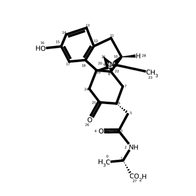 C[C@H](NC(=O)C[C@H]1C[C@@]2(O)[C@H]3Cc4ccc(O)cc4[C@@]2(CCN3C)CC1=O)C(=O)O